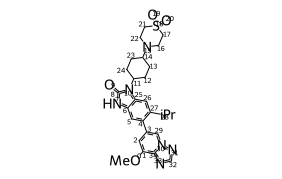 COc1cc(-c2cc3[nH]c(=O)n(C4CCC(N5CCS(=O)(=O)CC5)CC4)c3cc2C(C)C)cn2ncnc12